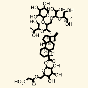 C=C1C[C@@]23CC[C@H]4[C@@](C)(CCC[C@@]4(C)C(=O)OC4OC(COC(=O)CC(=O)O)C(O)C(O)C4O)[C@@H]2CC[C@@]13CC(OC(CO)[C@H](C)O)C(COC(OC(CO)[C@H](C)O)C(O)O)OC1OCC(O)C(O)C1O